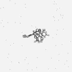 CC1CCC(C(=O)N(c2cc(C#CC(C)(C)C)sc2C(=O)O)C2COCCN(C)C2=O)CC1